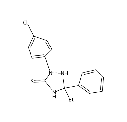 CCC1(c2ccccc2)NC(=S)N(c2ccc(Cl)cc2)N1